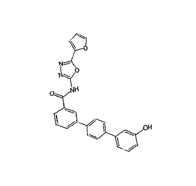 O=C(Nc1nnc(-c2ccco2)o1)c1cccc(-c2ccc(-c3cccc(O)c3)cc2)c1